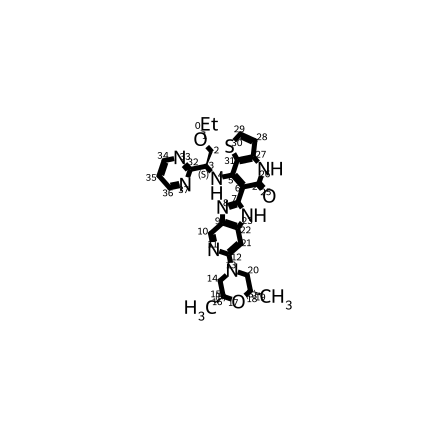 CCOC[C@@H](Nc1c(-c2nc3cnc(N4C[C@@H](C)O[C@@H](C)C4)cc3[nH]2)c(=O)[nH]c2ccsc12)c1ncccn1